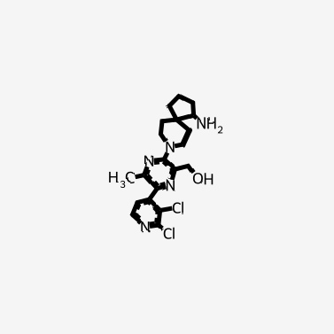 Cc1nc(N2CCC3(CCCC3N)CC2)c(CO)nc1-c1ccnc(Cl)c1Cl